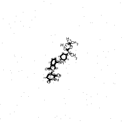 CN(C(=O)OC(C)(C)C)C1CCC(Nc2cccc3c2CN(C2CCC(=O)NC2=O)C3=O)CC1